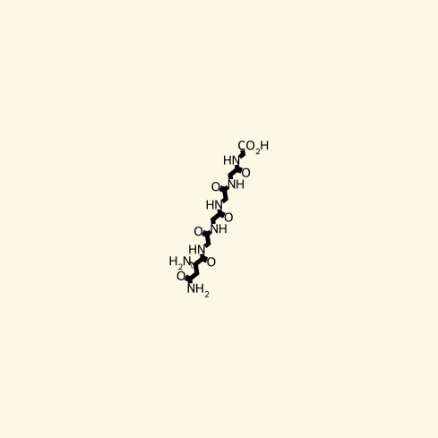 NC(=O)C[C@H](N)C(=O)NCC(=O)NCC(=O)NCC(=O)NCC(=O)NCC(=O)O